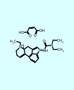 CCN(CC)C(=O)Nn1cc2c3c(cccc31)C1=CCCN(CC)[C@@H]1C2.O=C(O)/C=C\C(=O)O